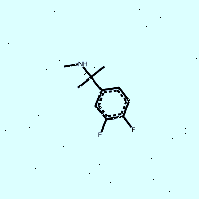 CNC(C)(C)c1ccc(F)c(F)c1